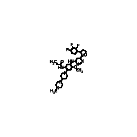 C=CC(=O)Nc1cc(Nc2cc(N3OCCC3c3ccc(F)c(F)c3F)ncn2)c(OC)cc1N1CCC(N2CCN(C)CC2)CC1